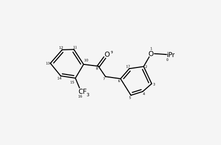 CC(C)Oc1cccc(CC(=O)c2ccccc2C(F)(F)F)c1